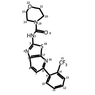 O=C(Nc1nc2ccc(-c3ccccc3C(F)(F)F)nc2s1)N1CCOCC1